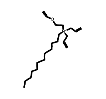 C=CC[N+](CC=C)(CCCCCCCCCCCC)CCOC=C